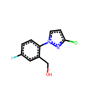 OCc1cc(F)ccc1-n1ccc(Cl)n1